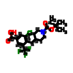 CC(C)(C)OC(=O)N1CCC(Cc2c(Cl)cc(C(=O)O)cc2C(F)(F)F)CC1